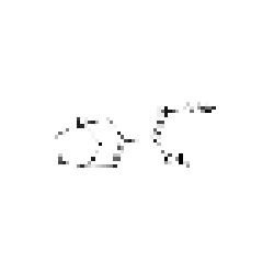 CON=C(C)C1=CC2CCN(C1)C2